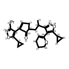 CC(C)c1noc(C2CC2)c1C1=CCC(CC(C)c2noc(C3CC3)c2C2=CCCCO2)C1=O